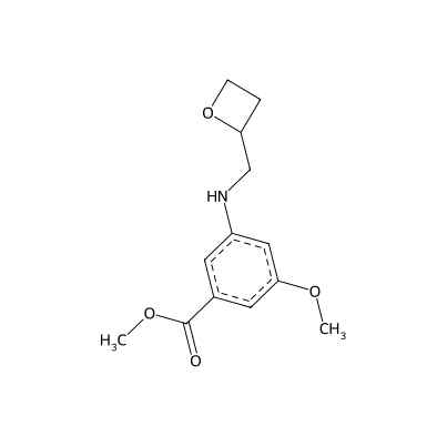 COC(=O)c1cc(NCC2CCO2)cc(OC)c1